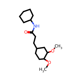 COC1CCC(CCC(=O)NC2CCCCC2)CC1OC